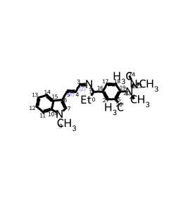 CCC(/N=C\C=C\c1cn(C)c2ccccc12)c1ccc(N(C)N(C)C)c(C)c1